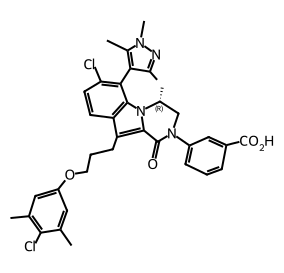 Cc1cc(OCCCc2c3n(c4c(-c5c(C)nn(C)c5C)c(Cl)ccc24)[C@H](C)CN(c2cccc(C(=O)O)c2)C3=O)cc(C)c1Cl